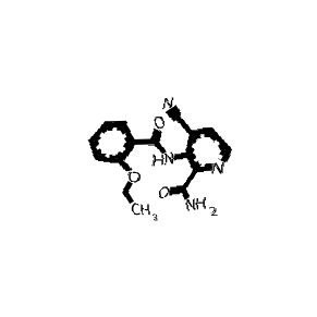 CCOc1ccccc1C(=O)Nc1c(C#N)ccnc1C(N)=O